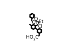 CCN(Cc1cc(C)ccc1-c1cc(CC(=O)O)ccc1Cl)C(=O)OCc1ccccc1